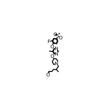 Cc1c(Oc2ccc(S(C)(=O)=O)cc2F)ncnc1OC1CCN(CC(C)CCC=O)CC1